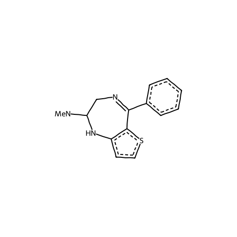 CNC1CN=C(c2ccccc2)c2sccc2N1